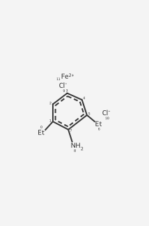 CCc1cccc(CC)c1N.[Cl-].[Cl-].[Fe+2]